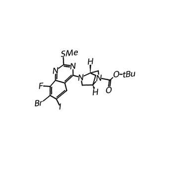 CSc1nc(N2C[C@@H]3C[C@H]2CN3C(=O)OC(C)(C)C)c2cc(I)c(Br)c(F)c2n1